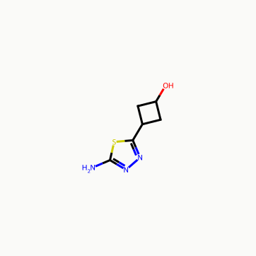 Nc1nnc(C2CC(O)C2)s1